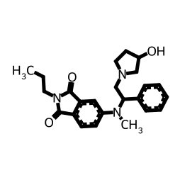 CCCN1C(=O)c2ccc(N(C)C(CN3CCC(O)C3)c3ccccc3)cc2C1=O